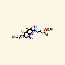 CCOC(=O)c1cn(CC)c2nc(NCCNC(=O)OC(C)(C)C)c(F)cc2c1=O